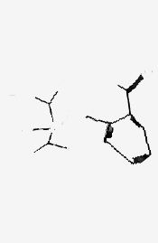 CC(O)[N+](C)(C)C(C)O.O=C([S-])c1ccccc1O